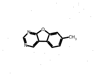 Cc1ccc2c(c1)oc1ncncc12